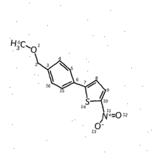 COCc1ccc(-c2ccc([N+](=O)[O-])s2)cc1